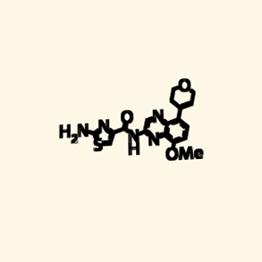 COc1ccc(C2=CCOCC2)c2ncc(NC(=O)c3csc(N)n3)nc12